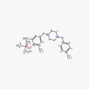 Cc1cc(CN2CCN(Cc3ccc(C(F)(F)F)cc3)CC2)cc(C(F)(F)F)c1OC(C)(C)C(=O)O